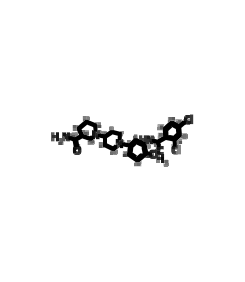 CC(Nc1cc(N2CCC(N3CCCC(C(N)=O)C3)CC2)ccc1Cl)c1ccc(Cl)cc1Cl